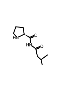 CC(C)CC(=O)NC(=O)[C@@H]1CCCN1